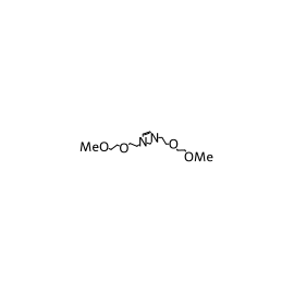 COCCOCCN1C=CN(CCOCCOC)C1